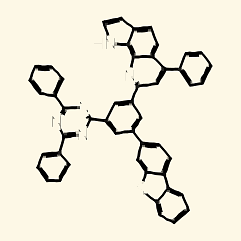 c1ccc(-c2nc(-c3ccccc3)nc(-c3cc(-c4ccc5c(c4)sc4ccccc45)cc(-c4cc(-c5ccccc5)c5ccc6cc[nH]c6c5n4)c3)n2)cc1